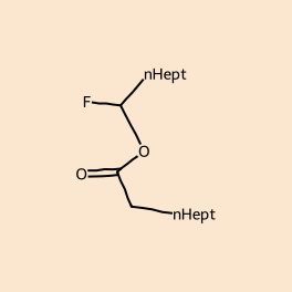 CCCCCCCCC(=O)OC(F)CCCCCCC